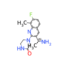 Cc1c(F)ccc2cc([C@H](C)N)c(N3CCNC(=O)C3)nc12